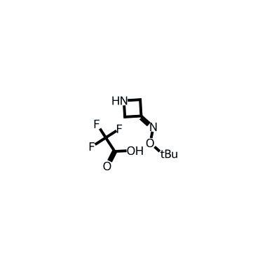 CC(C)(C)ON=C1CNC1.O=C(O)C(F)(F)F